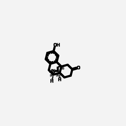 O=C1CC[C@H]2[C@H]3Cc4ccc(O)cc4[C@@]2(CCN3)C1